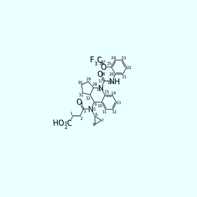 O=C(O)CCC(=O)N(C1CC1)C1c2ccccc2N(C(=O)Nc2ccccc2OC(F)(F)F)C2CCCC21